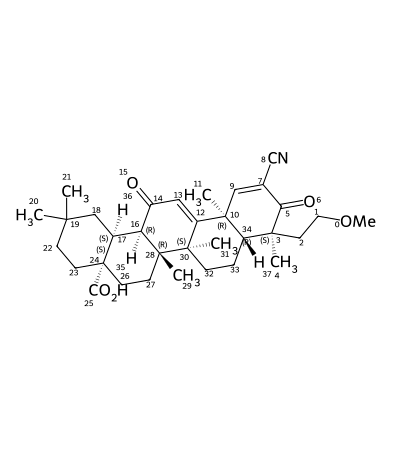 COCC[C@]1(C)C(=O)C(C#N)=C[C@]2(C)C3=CC(=O)[C@@H]4[C@@H]5CC(C)(C)CC[C@]5(C(=O)O)CC[C@@]4(C)[C@]3(C)CC[C@H]21